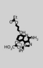 C=C(C)C(=O)O.CC(C)Cn1cnc2c(N)nc3ccccc3c21.CCC(=O)OCCCO